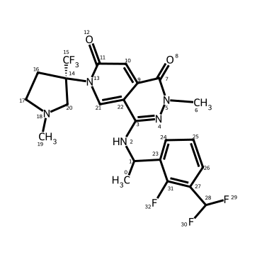 CC(Nc1nn(C)c(=O)c2cc(=O)n([C@]3(C(F)(F)F)CCN(C)C3)cc12)c1cccc(C(F)F)c1F